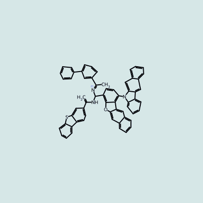 C=C(NC(/N=C(\C)c1cccc(-c2ccccc2)c1)c1ccc(-n2c3ccccc3c3cc4ccccc4cc32)c2c1oc1cc3ccccc3cc12)c1ccc2c(c1)sc1ccccc12